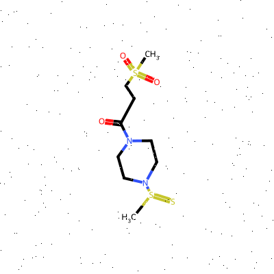 CS(=S)N1CCN(C(=O)CCS(C)(=O)=O)CC1